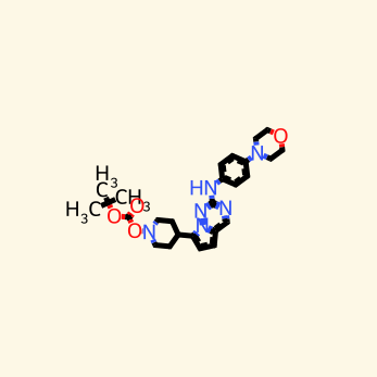 CC(C)(C)OC(=O)ON1CCC(c2ccc3cnc(Nc4ccc(N5CCOCC5)cc4)nn23)CC1